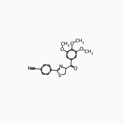 COc1cc(C(=O)C2CSC(c3ccc(C#N)cc3)=N2)cc(OC)c1OC